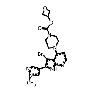 Cn1cc(-c2[nH]c3nccc(N4CCN(C(=O)OC5COC5)CC4)c3c2Br)cn1